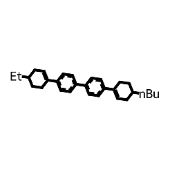 CCCCC1CC=C(c2ccc(-c3ccc(C4=CCC(CC)CC4)cc3)cc2)CC1